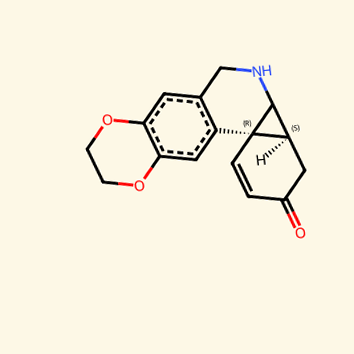 O=C1C=C[C@@]23c4cc5c(cc4CNC2[C@H]3C1)OCCO5